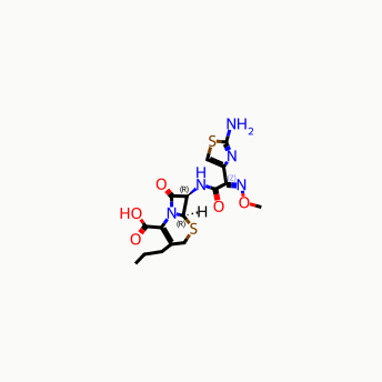 CCCC1=C(C(=O)O)N2C(=O)[C@@H](NC(=O)/C(=N\OC)c3csc(N)n3)[C@H]2SC1